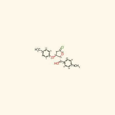 Cc1ccc(O[C@H]2C[C@@H](Cl)O[C@@H]2C(O)c2ccc(C)cc2)cc1